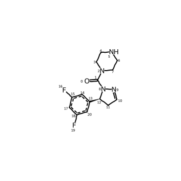 O=C(N1CCNCC1)N1N=CC[C@H]1c1cc(F)cc(F)c1